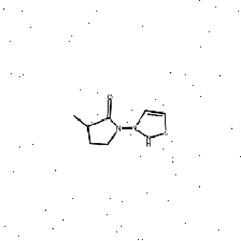 CC1CCN(N2C=CSN2)C1=O